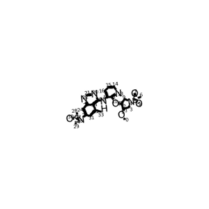 CO[C@@H]1CN(S(C)(=O)=O)C[C@H]1Oc1ncccc1Nc1ncnc2cc(N=S(C)(C)=O)cc(C)c12